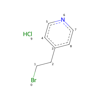 BrCCc1ccncc1.Cl